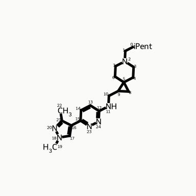 CCCC(C)CN1CCC2(CC1)CC2CNc1ccc(-c2cn(C)nc2C)nn1